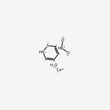 C1=CNSC=C1.O.[Ca+2].[O-]B[O-]